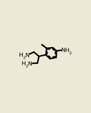 Cc1cc(N)ccc1C(CN)CN